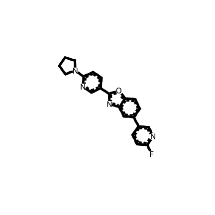 Fc1ccc(-c2ccc3oc(-c4ccc(N5CCCC5)nc4)nc3c2)cn1